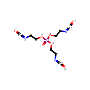 O=C=NCCOP(=O)(OCCN=C=O)OCCN=C=O